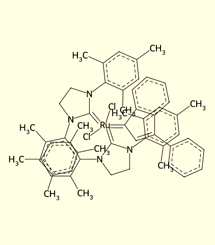 Cc1cc(C)c(N2CCN(c3c(C)cc(C)cc3C)[C]2=[Ru]([Cl])([Cl])(=[C]2C=C(c3ccccc3)c3ccccc32)=[C]2N(c3c(C)cc(C)cc3C)CCN2c2c(C)cc(C)cc2C)c(C)c1